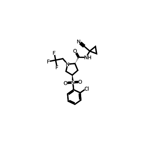 N#CC1(NC(=O)[C@@H]2C[C@@H](S(=O)(=O)c3ccccc3Cl)CN2CC(F)(F)F)CC1